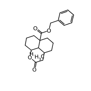 C[C@]12CCCC3(C(=O)OCc4ccccc4)CCC[C@H](OC(=O)C1)C32